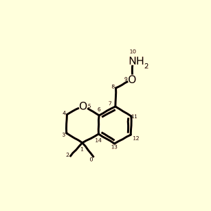 CC1(C)CCOc2c(CON)cccc21